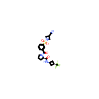 N#CC1CN(S(=O)(=O)c2cccc(C(=O)N3CCC[C@@H]3C(=O)N[C@H]3C[C@H](C(F)(F)F)C3)c2)C1